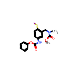 CN(Cc1cc(NC(=O)Oc2ccccc2)ccc1SI)C(=O)OC(C)(C)C